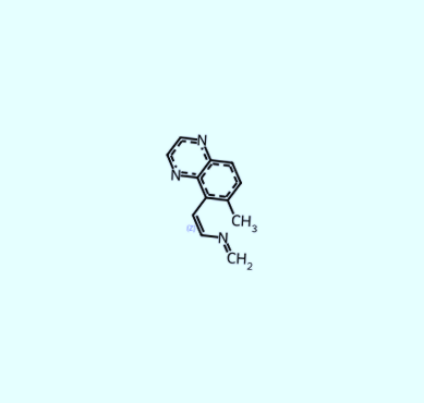 C=N/C=C\c1c(C)ccc2nccnc12